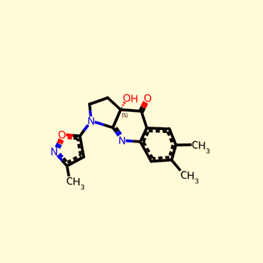 Cc1cc(N2CC[C@@]3(O)C(=O)c4cc(C)c(C)cc4N=C23)on1